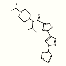 CC(C)N1CCC(N(C(=O)c2csc(-c3cnn(-c4ccccc4)c3)n2)C(C)C)CC1